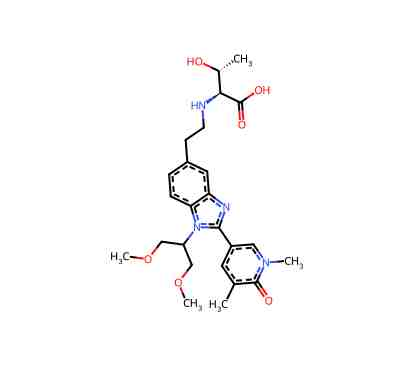 COCC(COC)n1c(-c2cc(C)c(=O)n(C)c2)nc2cc(CCN[C@H](C(=O)O)[C@@H](C)O)ccc21